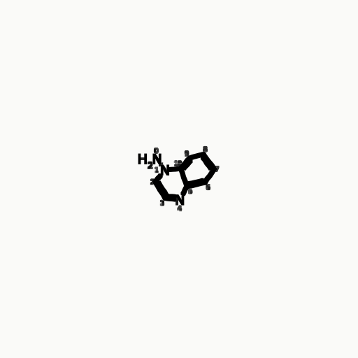 NN1C=C=Nc2ccccc21